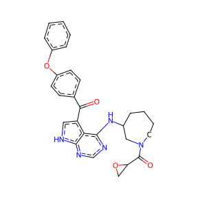 O=C(c1ccc(Oc2ccccc2)cc1)c1c[nH]c2ncnc(NC3CCCCN(C(=O)C4CO4)C3)c12